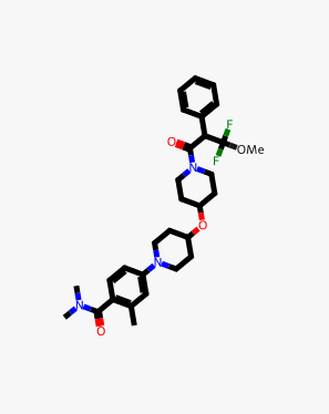 COC(F)(F)C(C(=O)N1CCC(OC2CCN(c3ccc(C(=O)N(C)C)c(C)c3)CC2)CC1)c1ccccc1